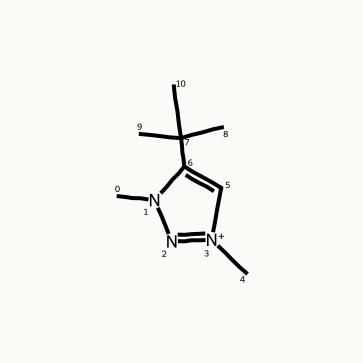 Cn1n[n+](C)cc1C(C)(C)C